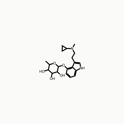 CC1OC(Oc2cccc3[nH]cc(CCN(C)C4CC4)c23)C(O)C(O)C1O